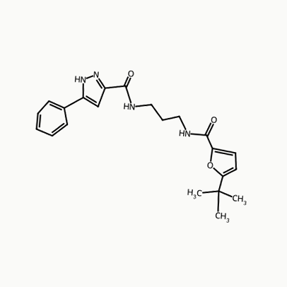 CC(C)(C)c1ccc(C(=O)NCCCNC(=O)c2cc(-c3ccccc3)[nH]n2)o1